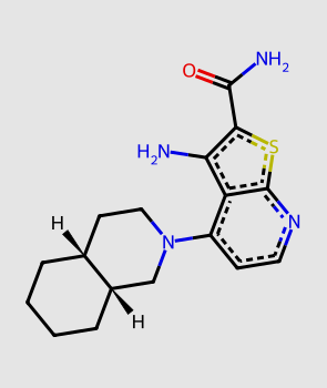 NC(=O)c1sc2nccc(N3CC[C@H]4CCCC[C@H]4C3)c2c1N